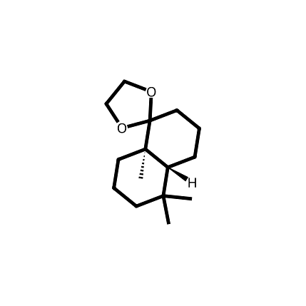 CC1(C)CCC[C@]2(C)[C@@H]1CCCC21OCCO1